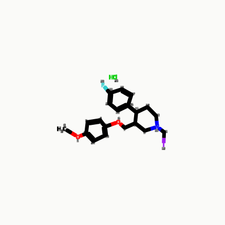 COc1ccc(OCC2CN(CI)CCC2c2ccc(F)cc2)cc1.Cl